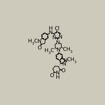 C[C@@H]1CN(c2ncc(Cl)c(Nc3ccc4c(c3)CC(=O)N4C)n2)C[C@@H](C)N1c1ccc2c([C@H]3CCC(=O)NC3=O)nn(C)c2c1